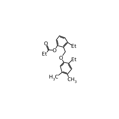 CCC(=O)Oc1cccc(CC)c1COc1cc(C)c(C)cc1CC